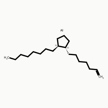 C=CCCCCC[C@H]1CCC[C@@H]1CCCCCCCC.[Al]